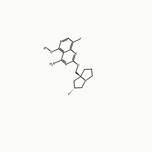 CC(C)Oc1ncc(F)c2nc(OC[C@@]34CCCN3C[C@H](F)C4)nc(N)c12